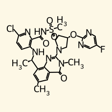 Cc1cc([C@@H](C)Nc2ccc(Cl)nc2C(=O)NS(C)(=O)=O)c2nc(N3CC[C@@H](Oc4ncc(F)cn4)C3)n(C)c(=O)c2c1